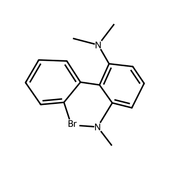 CN(C)c1cccc(N(C)C)c1-c1ccccc1Br